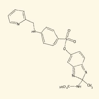 CC1(NC(=O)O)N=c2ccc(OS(=O)(=O)c3ccc(NCc4ccccn4)cc3)cc2=N1